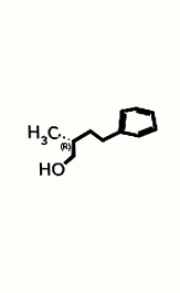 C[C@@H](CO)CCc1ccccc1